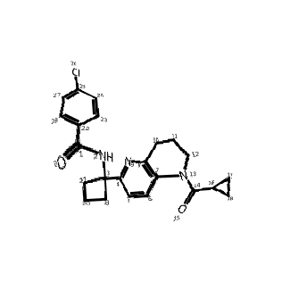 O=C(NC1(c2ccc3c(n2)CCCN3C(=O)C2CC2)CCC1)c1ccc(Cl)cc1